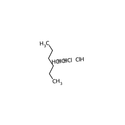 CCCCCC.Cl.Cl.Cl.Cl